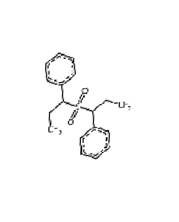 O=S(=O)(C(CC(F)(F)F)c1ccccc1)C(CC(F)(F)F)c1ccccc1